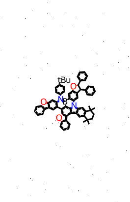 CC(C)(C)c1ccc(N2B3c4cc5c(cc4-n4c6cc7c(cc6c6c8c(oc9ccccc98)c(c3c64)-c3cc4c(cc32)oc2ccccc24)C(C)(C)CCC7(C)C)C(c2ccccc2)C(c2ccccc2)O5)cc1